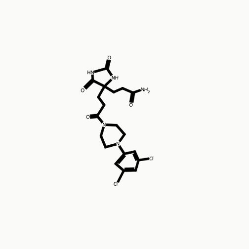 NC(=O)CCC1(CCC(=O)N2CCN(c3cc(Cl)cc(Cl)c3)CC2)NC(=O)NC1=O